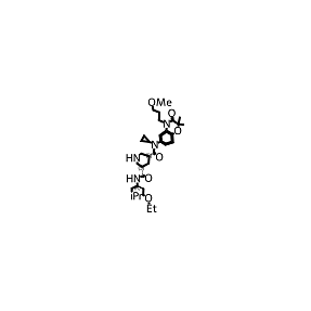 CCOCC[C@@H](CC(C)C)NC(=O)[C@@H]1CNC[C@H](C(=O)N(c2ccc3c(c2)N(CCCOC)C(=O)C(C)(C)O3)C2CC2)C1